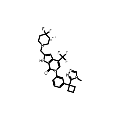 C[C@@H]1CN(Cc2cc3c(C(F)(F)F)cn(-c4cccc(C5(c6nncn6C)CCC5)c4)c(=O)c3[nH]2)CCC1(F)F